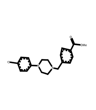 COC(=O)c1ccc(CN2CCN(c3ccc(Cl)cc3)CC2)cc1